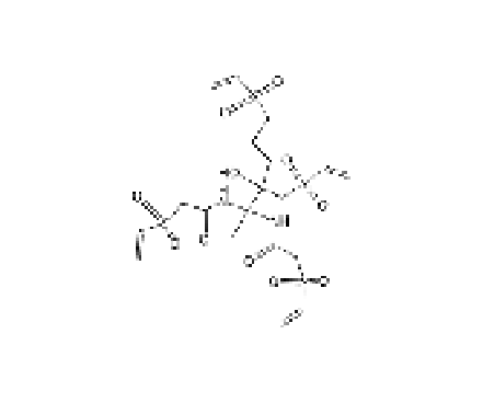 C=CS(=O)(=O)CCCC(O)(CS(=O)(=O)C=C)C(C)(NC(=O)CS(=O)(=O)C=C)NC(=O)CS(=O)(=O)C=C